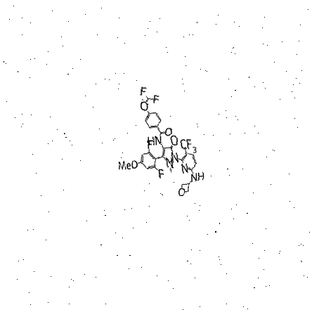 COc1cc(F)c(-c2c(NC(=O)c3ccc(OC(F)F)cc3)c(=O)n(-c3nc(NC4COC4)ccc3C(F)(F)F)n2C)c(F)c1